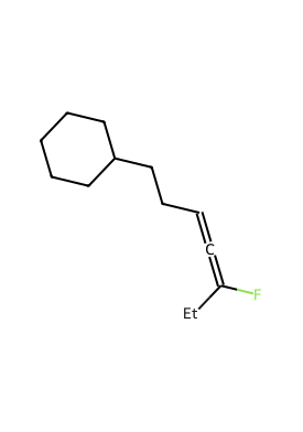 CCC(F)=C=CCCC1CCCCC1